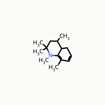 CC1=C2C(CC=C1)C(C)CC(C)(C)N2C